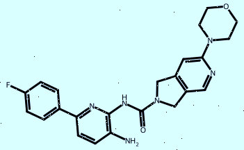 Nc1ccc(-c2ccc(F)cc2)nc1NC(=O)N1Cc2cnc(N3CCOCC3)cc2C1